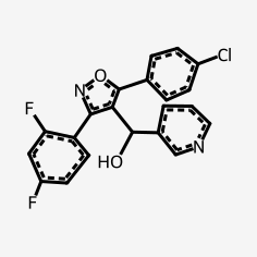 OC(c1cccnc1)c1c(-c2ccc(F)cc2F)noc1-c1ccc(Cl)cc1